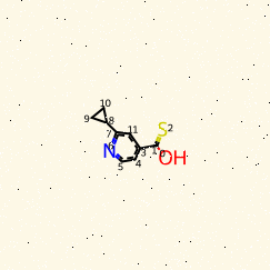 OC(=S)c1ccnc(C2CC2)c1